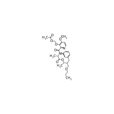 CCCOCC(Cc1ccccc1)C(C)OC(=O)C(C)NC(=O)c1nccc(OC)c1OCOC(C)=O